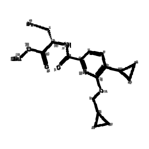 CC(C)C[C@H](NC(=O)c1ccc(C2CC2)c(OCC2CC2)n1)C(=O)OC(C)(C)C